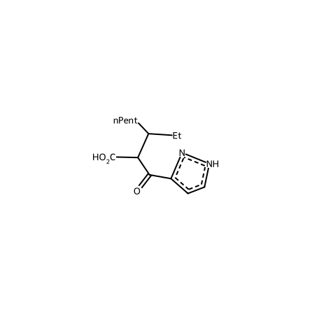 CCCCCC(CC)C(C(=O)O)C(=O)c1cc[nH]n1